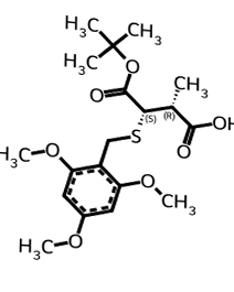 COc1cc(OC)c(CS[C@H](C(=O)OC(C)(C)C)[C@H](C)C(=O)O)c(OC)c1